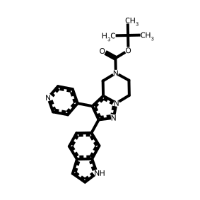 CC(C)(C)OC(=O)N1CCn2nc(-c3ccc4cc[nH]c4c3)c(-c3ccncc3)c2C1